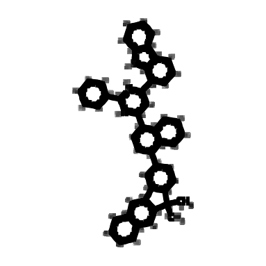 CC1(C)c2ccc(-c3ccc(-c4cc(-c5cccc6c5sc5ccccc56)nc(-c5ccccc5)n4)c4ccccc34)cc2-c2cc3ccccc3cc21